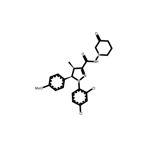 COc1ccc([C@H]2[C@@H](C)C(C(=O)NN3CCCC(=O)C3)=NN2c2ccc(Cl)cc2Cl)cc1